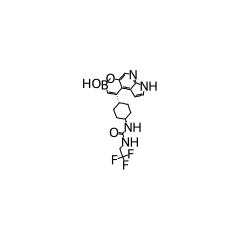 O=C(NCC(F)(F)F)N[C@H]1CC[C@H](C2=CB(O)Oc3cnc4[nH]ccc4c32)CC1